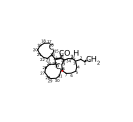 C=CCC1CCCCCCC(C(C(=O)O)=C(C2CCCCCCCCC2)C2CCCCCCCCC2)CC1